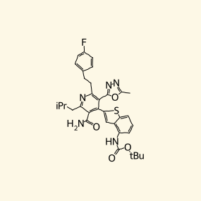 Cc1nnc(-c2c(CCc3ccc(F)cc3)nc(CC(C)C)c(C(N)=O)c2-c2cc3c(NC(=O)OC(C)(C)C)cccc3s2)o1